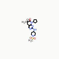 CC1(C)Cc2cnc(NC3CCN(S(C)(=O)=O)CC3)nc2N(C2CCCC2)C1=O